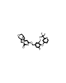 O=c1nc(OCc2cc(F)c(Oc3ccnc(C(F)(F)F)c3)c(F)c2)cc2n1CC13CCC(COC1)N23